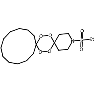 CCS(=O)(=O)N1CCC2(CC1)OOC1(CCCCCCCCCCC1)OO2